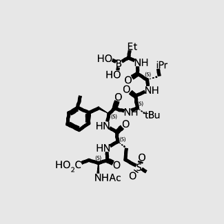 CCC(NC(=O)[C@H](CC(C)C)NC(=O)[C@@H](NC(=O)[C@H](Cc1ccccc1C)NC(=O)[C@H](CCS(C)(=O)=O)NC(=O)[C@H](CC(=O)O)NC(C)=O)C(C)(C)C)B(O)O